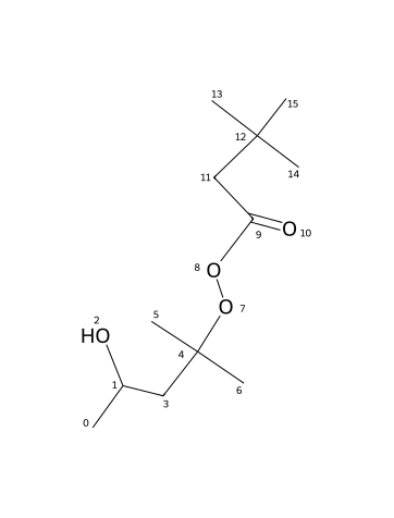 CC(O)CC(C)(C)OOC(=O)CC(C)(C)C